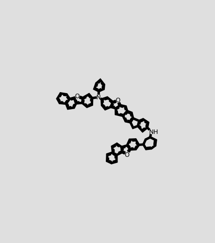 C1=CC(Nc2ccc3c(c2)Cc2cc4cc5c(cc4cc2-3)oc2cc(N(c3ccccc3)c3ccc4c(c3)oc3c6ccccc6ccc43)ccc25)CC(c2ccc3c(c2)oc2c4ccccc4ccc32)C=C1